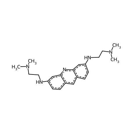 CN(C)CCNc1ccc2cc3ccc(NCCN(C)C)cc3nc2c1